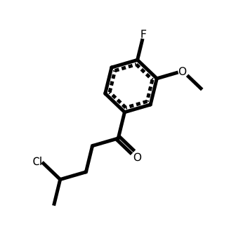 COc1cc(C(=O)CCC(C)Cl)ccc1F